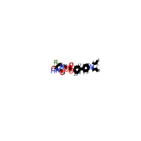 CCCN(CCC)c1ccc(-c2ccc(OC(=O)OCn3cc(F)c(=O)[nH]c3=O)cc2)cc1